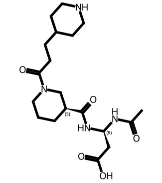 CC(=O)N[C@@H](CC(=O)O)NC(=O)[C@H]1CCCN(C(=O)CCC2CCNCC2)C1